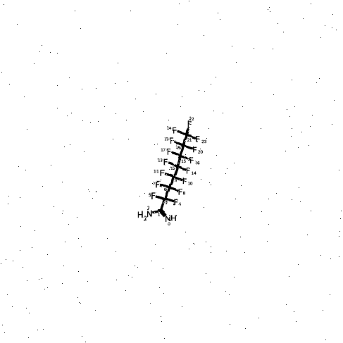 N=C(N)C(F)(F)C(F)(F)C(F)(F)C(F)(F)C(F)(F)C(F)(F)C(F)(F)F